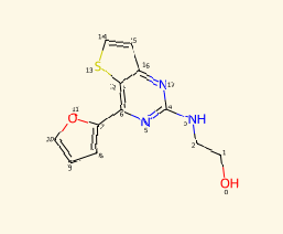 OCCNc1nc(-c2ccco2)c2sccc2n1